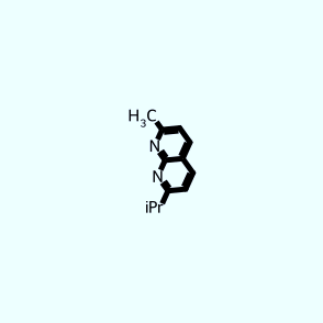 Cc1ccc2ccc(C(C)C)nc2n1